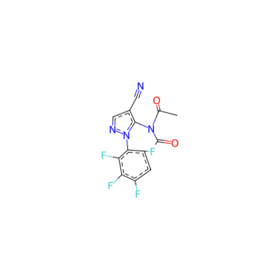 CC(=O)N(C(C)=O)c1c(C#N)cnn1-c1c(F)cc(F)c(F)c1F